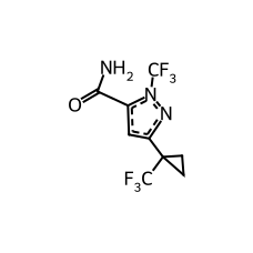 NC(=O)c1cc(C2(C(F)(F)F)CC2)nn1C(F)(F)F